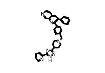 c1ccc(-c2cc3ccncc3nc2-c2ccc(CN3CCC(c4n[nH]c(-c5ccccn5)n4)CC3)cc2)cc1